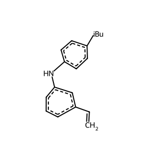 C=Cc1cccc(Nc2ccc(C(C)CC)cc2)c1